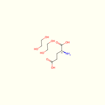 N[C@@H](CCC(=O)O)C(=O)O.OCCO.OCCO